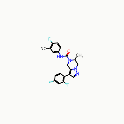 CC1Cn2ncc(-c3ccc(F)cc3F)c2CN1C(=O)Nc1ccc(F)c(C#N)c1